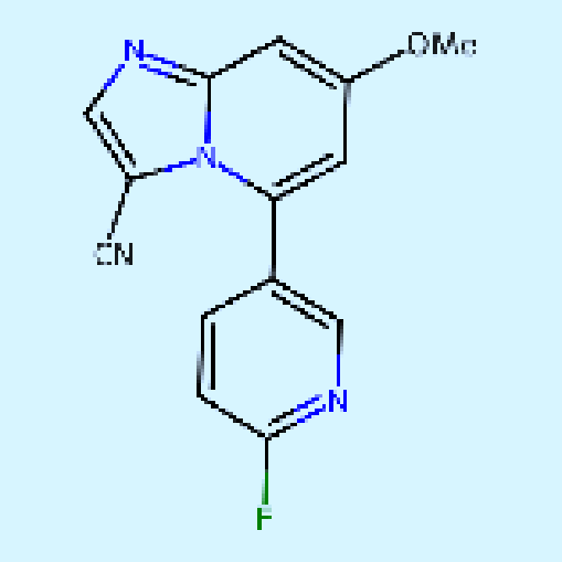 COc1cc(-c2ccc(F)nc2)n2c(C#N)cnc2c1